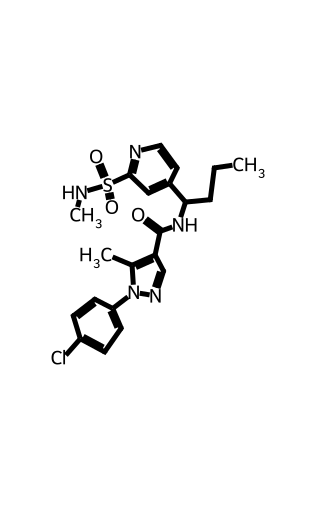 CCCC(NC(=O)c1cnn(-c2ccc(Cl)cc2)c1C)c1ccnc(S(=O)(=O)NC)c1